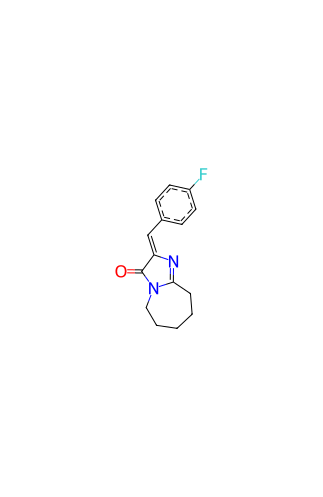 O=C1C(=Cc2ccc(F)cc2)N=C2CCCCCN12